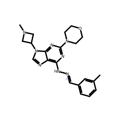 Cc1cccc(/C=N/Nc2nc(N3CCOCC3)nc3c2ncn3C2CN(C)C2)c1